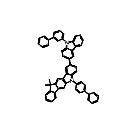 CC1(C)c2ccccc2-c2cc3c(cc21)c1cc(-c2ccc4c(c2)c2ccccc2n4-c2cccc(-c4ccccc4)c2)ccc1n3-c1ccc(-c2ccccc2)cc1